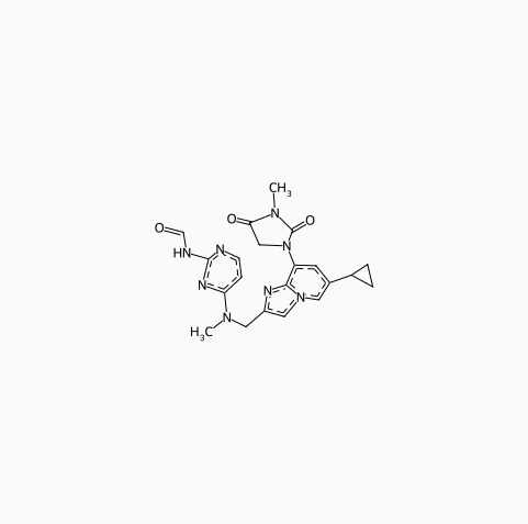 CN1C(=O)CN(c2cc(C3CC3)cn3cc(CN(C)c4ccnc(NC=O)n4)nc23)C1=O